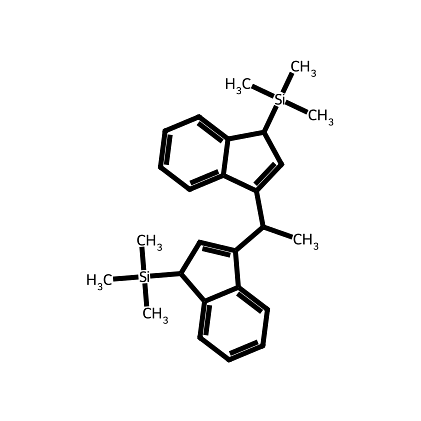 CC(C1=CC([Si](C)(C)C)c2ccccc21)C1=CC([Si](C)(C)C)c2ccccc21